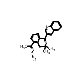 CCON=C(C)c1cccc2c1CC(C)(C)N=C2c1cnc2ccccc2c1